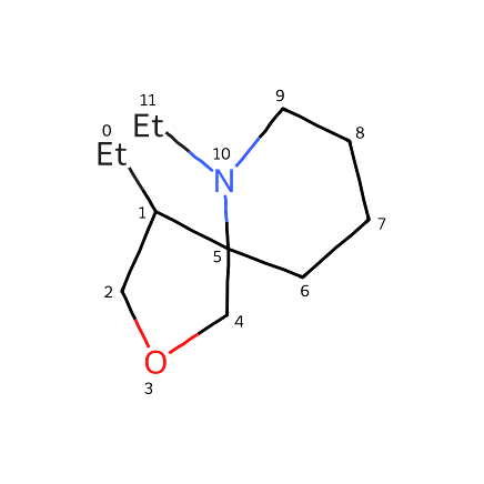 CCC1COCC12CCCCN2CC